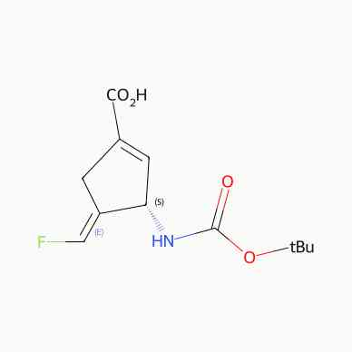 CC(C)(C)OC(=O)N[C@H]1C=C(C(=O)O)C/C1=C\F